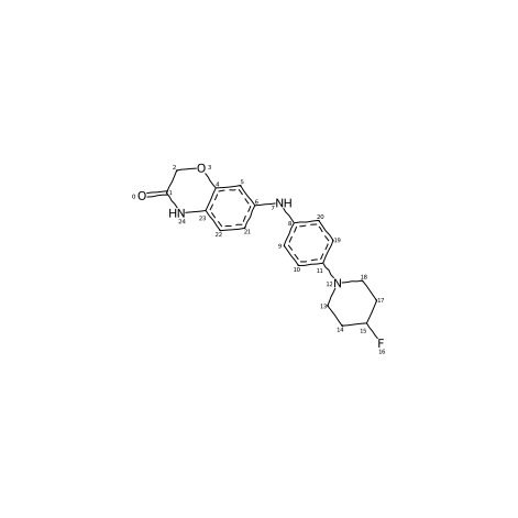 O=C1COc2cc(Nc3ccc(N4CCC(F)CC4)cc3)ccc2N1